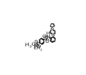 CN(C)S(=O)(=O)c1ccc(S(=O)(=O)Nc2ccccc2N2CCN(C3CCCC3)CC2)cc1